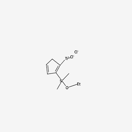 CCO[Si](C)(C)C1=[C]([Ti+2])CC=C1.[Cl-].[Cl-]